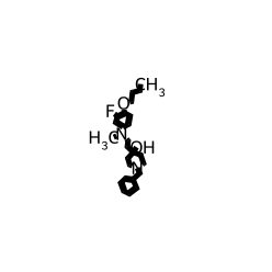 CCCCOc1ccc(N(C)CCC2(O)CCN(Cc3ccccc3)CC2)cc1F